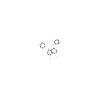 CN(C)c1ccc(P(CP(c2ccc(N(C)C)cc2)c2ccc(N(C)C)cc2)c2ccc(N(C)C)cc2)cc1